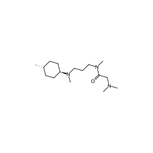 CN(C)CC(=O)N(C)CCCN(C)[C@H]1CC[C@H](C)CC1